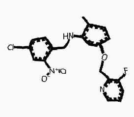 Cc1ccc(OCc2ncccc2F)cc1NCc1ccc(Cl)cc1[N+](=O)[O-]